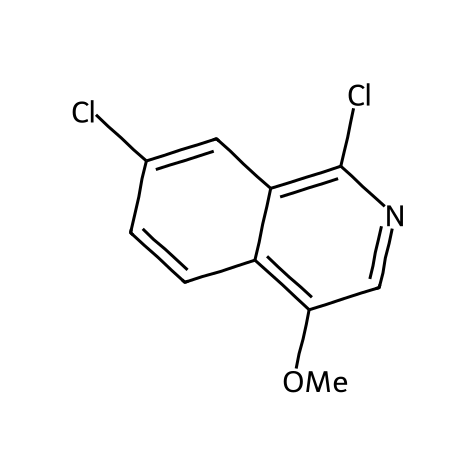 COc1cnc(Cl)c2cc(Cl)ccc12